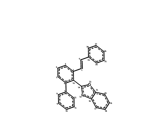 C(=Cc1cccc(-c2ccccc2)c1-c1nc2ccccc2o1)c1ccccc1